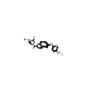 O=C1CN(C(=O)c2ccc3cc(Oc4ccc(C(F)(F)F)cn4)ccc3n2)CCN1